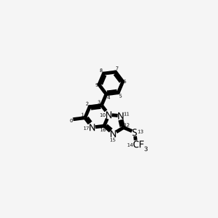 Cc1cc(-c2ccccc2)n2nc(SC(F)(F)F)nc2n1